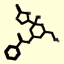 CCC1CC(OC(=O)c2ccccc2)CC(O)(C2CSC(=O)N2)O1